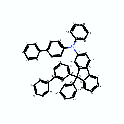 c1ccc(-c2ccc(N(c3ccccc3)c3ccc4c(c3)C(c3ccccc3)(c3cccc(-c5ccccc5)c3)c3ccccc3-4)cc2)cc1